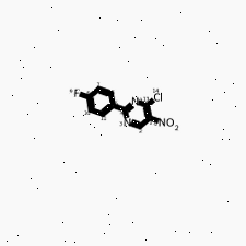 O=[N+]([O-])c1cnc(-c2ccc(F)cc2)nc1Cl